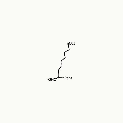 CCCCCCCCCCCCCCC([C]=O)CCCCC